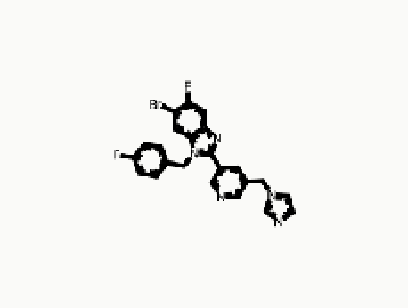 Fc1ccc(Cn2c(-c3cncc(Cn4ccnc4)c3)nc3cc(F)c(Br)cc32)cc1